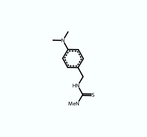 CNC(=S)NCc1ccc(N(C)C)cc1